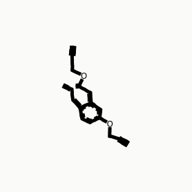 C#CCOC(=C)/C=c1/cc(OCC#C)cc/c1=C/C=C